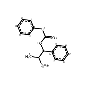 COC(C)C(OC(=O)Oc1ccccc1)c1ccccc1